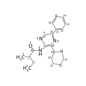 CCC(C)C(=O)Nc1ncc(-c2ccccc2)nc1C1CCCCC1